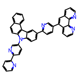 c1ccc(-c2ccc(-n3c4ccc(-c5ccc(-c6cc7cccnc7c7ncccc67)cn5)cc4c4c5ccccc5ccc43)cn2)nc1